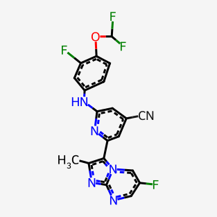 Cc1nc2ncc(F)cn2c1-c1cc(C#N)cc(Nc2ccc(OC(F)F)c(F)c2)n1